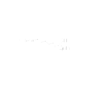 CCCCCCCCCCCCO[SiH](S)CCC